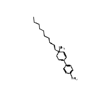 CCCCCCCCCCC1(N)C=CC(c2ccc(N)cc2)=CC1